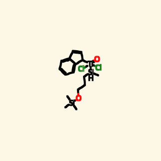 C[SiH](CCCO[Si](C)(C)C)[Ti](=[O])([Cl])([Cl])[CH]1C=Cc2ccccc21